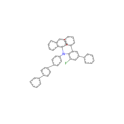 Fc1cc(-c2ccccc2)cc(-c2ccccc2)c1N(c1ccc(-c2ccc(-c3ccccc3)cc2)cc1)c1cccc2ccccc12